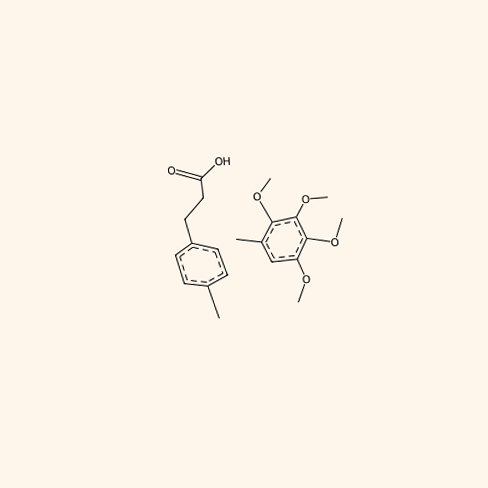 COc1cc(C)c(OC)c(OC)c1OC.Cc1ccc(CCC(=O)O)cc1